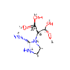 N=C1NCCN1C(C(=O)O)C(=O)O